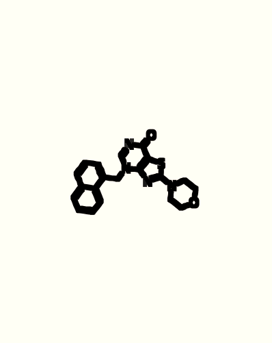 O=c1ncn(Cc2cccc3ccccc23)c2nc(N3CCOCC3)sc12